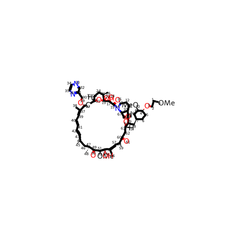 COCCO[C@@H]1CC[C@@H](CC2[C@H]3CCCN4C(=O)C(=O)[C@]5(O)O[C@@H](CC[C@H]5C)CC(OCc5cnccn5)/C(C)=C/C=C/C=C/[C@@H](C)C[C@@H](C)C(=O)[C@H](OC)[C@H](O)/C(C)=C/[C@@H](C)C(=O)C[C@@H]2OC(=O)C34)C[C@H]1OC